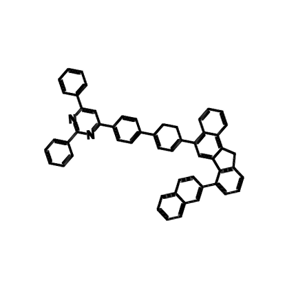 C1=C(c2ccc(-c3cc(-c4ccccc4)nc(-c4ccccc4)n3)cc2)CCC(c2cc3c(c4ccccc24)Cc2cccc(-c4ccc5ccccc5c4)c2-3)=C1